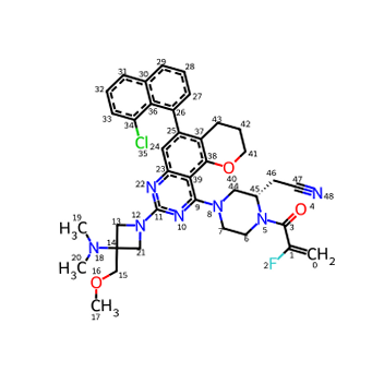 C=C(F)C(=O)N1CCN(c2nc(N3CC(COC)(N(C)C)C3)nc3cc(-c4cccc5cccc(Cl)c45)c4c(c23)OCCC4)C[C@@H]1CC#N